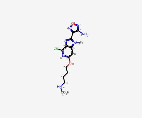 CCn1c(-c2nonc2N)nc2c(Cl)nc(OCCCCNC(=O)O)cc21